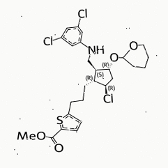 COC(=O)c1ccc(CCC[C@@H]2[C@@H](CNc3cc(Cl)cc(Cl)c3)[C@H](OC3CCCCO3)C[C@H]2Cl)s1